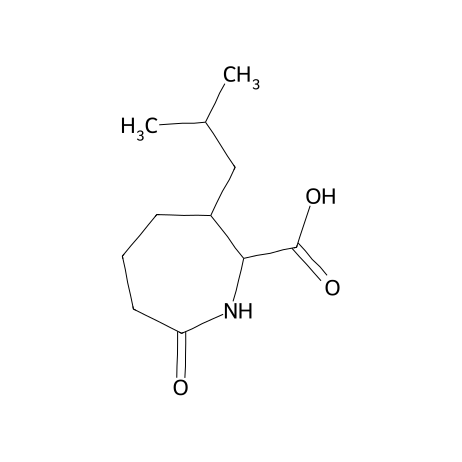 CC(C)CC1CCCC(=O)NC1C(=O)O